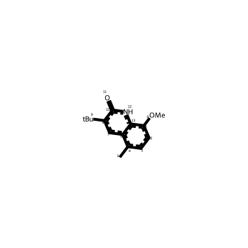 COc1ccc(C)c2cc(C(C)(C)C)c(=O)[nH]c12